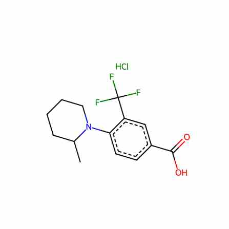 CC1CCCCN1c1ccc(C(=O)O)cc1C(F)(F)F.Cl